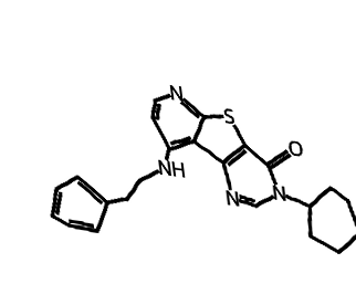 O=c1c2sc3nccc(NCCc4ccccc4)c3c2ncn1C1CCCCC1